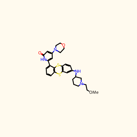 COCCN1CCCC(Nc2ccc3c(c2)Sc2cccc(-c4cc(N5CCOCC5)cc(=O)[nH]4)c2S3)C1